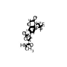 CNC(=O)[C@H]1CN(c2ccc3c(c2)OCC(=O)N3CC(F)(F)F)C(=O)O1